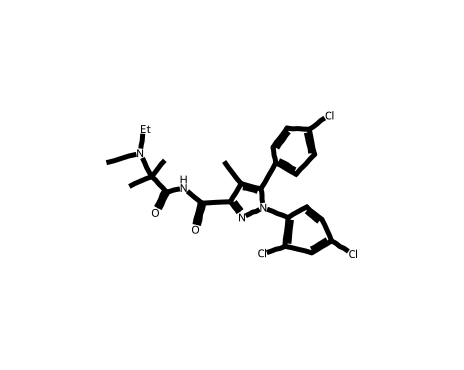 CCN(C)C(C)(C)C(=O)NC(=O)c1nn(-c2ccc(Cl)cc2Cl)c(-c2ccc(Cl)cc2)c1C